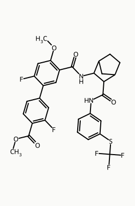 COC(=O)c1ccc(-c2cc(C(=O)NC3C4CCC(C4)C3C(=O)Nc3cccc(SC(F)(F)F)c3)c(OC)cc2F)cc1F